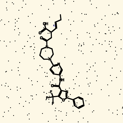 CC/C=C/C(CC(=O)N1CCCN(c2ccc(NC(=O)c3nc(-c4ccccc4)oc3C(F)(F)F)cn2)CC1)C(=O)O